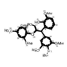 CC[C@@H](C)Oc1c(OC)cc(C(c2cccc(OC)c2O)C(CO)Oc2c(OC)cc(C(=O)O)cc2OC)cc1OC